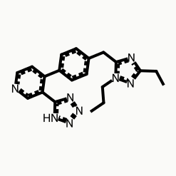 CCCn1nc(CC)nc1Cc1ccc(-c2ccncc2-c2nnn[nH]2)cc1